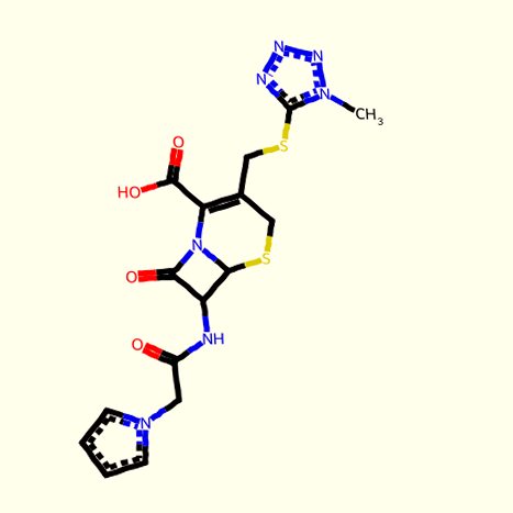 Cn1nnnc1SCC1=C(C(=O)O)N2C(=O)C(NC(=O)Cn3cccc3)C2SC1